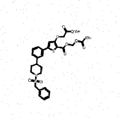 COC(=O)COc1cc(-c2cccc(C3CCN(S(=O)(=O)Cc4ccccc4)CC3)c2)sc1C(=O)OCOC(=O)C(C)(C)C